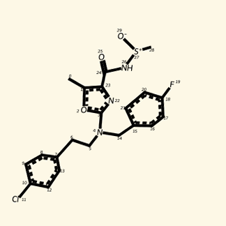 Cc1oc(N(CCc2ccc(Cl)cc2)Cc2ccc(F)cc2)nc1C(=O)N[S+](C)[O-]